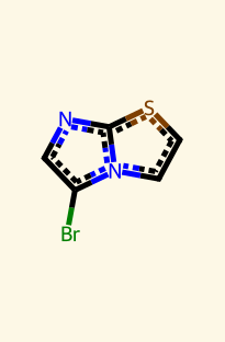 Brc1cnc2sccn12